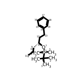 CC(C)(C)[Si](C)(C)O[C@H](CCI)CCc1ccccc1